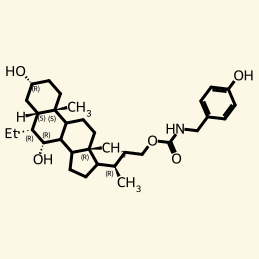 CC[C@H]1[C@@H](O)C2C3CCC([C@H](C)CCOC(=O)NCc4ccc(O)cc4)[C@@]3(C)CCC2[C@@]2(C)CC[C@@H](O)C[C@@H]12